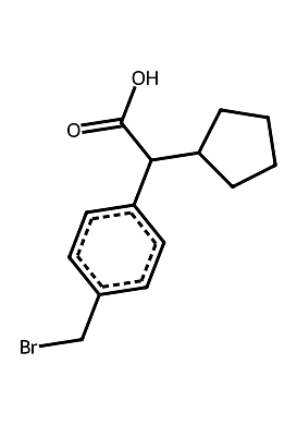 O=C(O)C(c1ccc(CBr)cc1)C1CCCC1